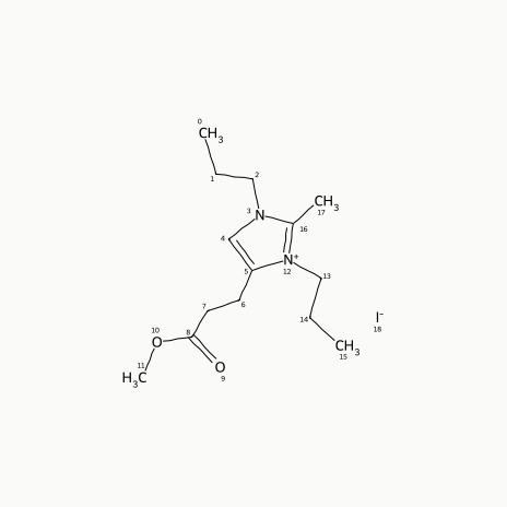 CCCn1cc(CCC(=O)OC)[n+](CCC)c1C.[I-]